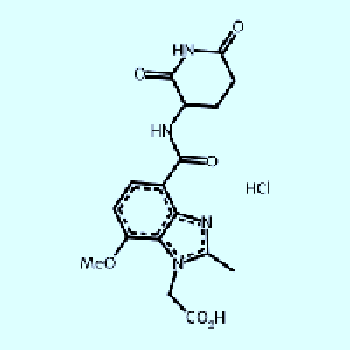 COc1ccc(C(=O)NC2CCC(=O)NC2=O)c2nc(C)n(CC(=O)O)c12.Cl